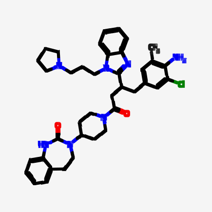 Nc1c(Cl)cc(CC(CC(=O)N2CCC(N3CCc4ccccc4NC3=O)CC2)c2nc3ccccc3n2CCCN2CCCC2)cc1C(F)(F)F